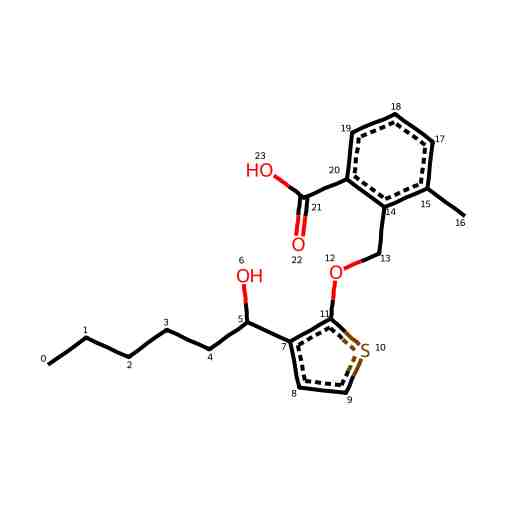 CCCCCC(O)c1ccsc1OCc1c(C)cccc1C(=O)O